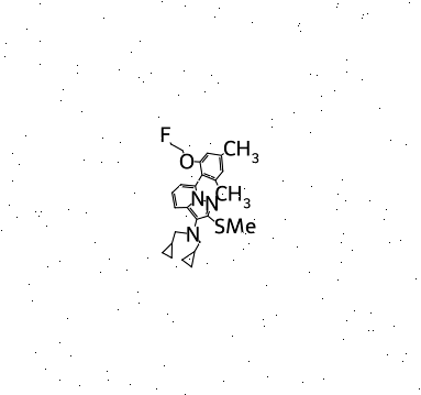 CSc1nn2c(-c3c(C)cc(C)cc3OCCF)cccc2c1N(CC1CC1)CC1CC1